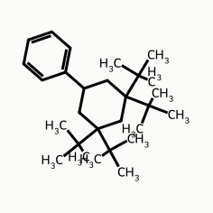 CC(C)(C)C1(C(C)(C)C)CC(c2ccccc2)CC(C(C)(C)C)(C(C)(C)C)C1